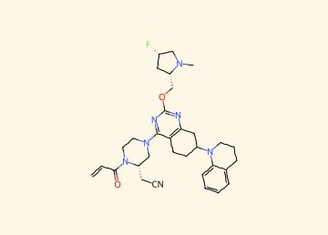 C=CC(=O)N1CCN(c2nc(OC[C@@H]3C[C@H](F)CN3C)nc3c2CCC(N2CCCc4ccccc42)C3)C[C@@H]1CC#N